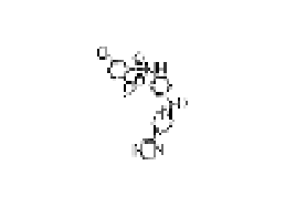 COc1ccc(Cl)cc1S(=O)(=O)Nc1ccc(C(=O)N2CCN(c3cnccn3)CC2)cc1